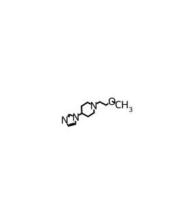 COCCN1CCC(n2ccnc2)CC1